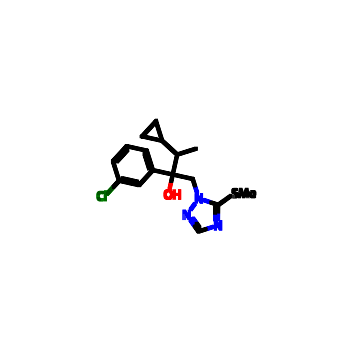 CSc1ncnn1CC(O)(c1cccc(Cl)c1)C(C)C1CC1